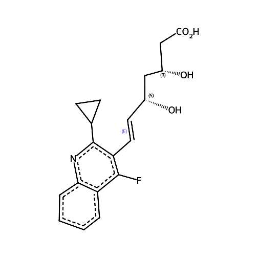 O=C(O)C[C@H](O)C[C@H](O)/C=C/c1c(C2CC2)nc2ccccc2c1F